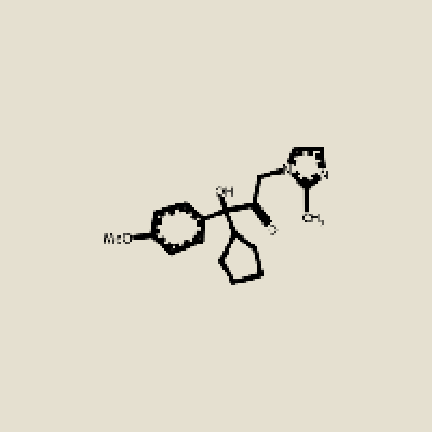 COc1ccc(C(O)(C(=O)Cn2ccnc2C)C2CCCC2)cc1